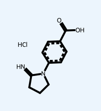 Cl.N=C1CCCN1c1ccc(C(=O)O)cc1